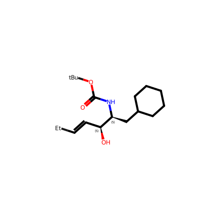 CCC=C[C@H](O)[C@H](CC1CCCCC1)NC(=O)OC(C)(C)C